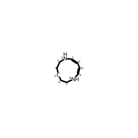 C1=C\NCCCCCN\C=C/1